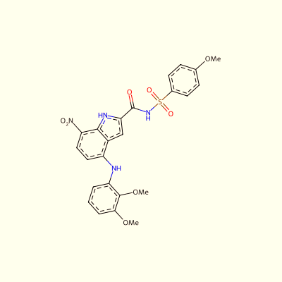 COc1ccc(S(=O)(=O)NC(=O)c2cc3c(Nc4cccc(OC)c4OC)ccc([N+](=O)[O-])c3[nH]2)cc1